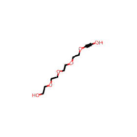 OC#COCCOCCOCCOCCO